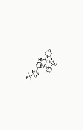 Cn1nccc1C(=O)NCC1COCCN1C(=O)Nc1ccc(-c2noc(C(F)(F)F)n2)cc1